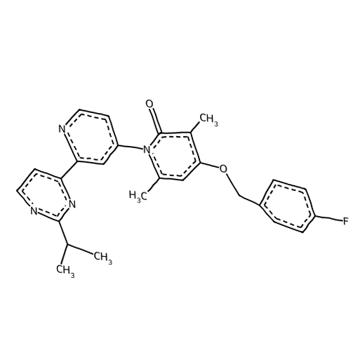 Cc1c(OCc2ccc(F)cc2)cc(C)n(-c2ccnc(-c3ccnc(C(C)C)n3)c2)c1=O